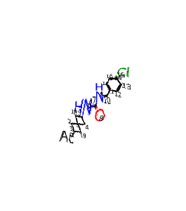 CC(=O)C1CC2(CC(NC(=O)NCc3ccc(Cl)cc3)C2)C1